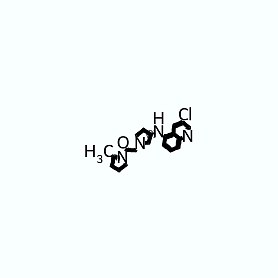 C[C@@H]1CCCN1C(=O)CN1CC[C@@H](Nc2cccc3ncc(Cl)cc23)C1